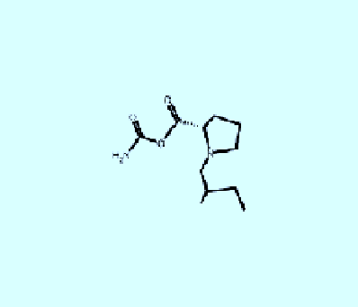 CCC(C)CN1CCC[C@H]1C(=O)OC(N)=O